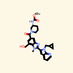 Cn1c(-c2cc3cccnc3n2CC2CC2)nc2cc(C(=O)N3CCC[C@@H](NC(=O)OC(C)(C)C)C3)cc(CO)c21